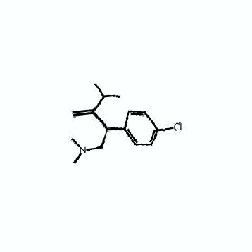 C=C(C(C)C)[C@H](CN(C)C)c1ccc(Cl)cc1